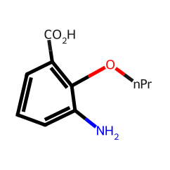 CCCOc1c(N)cccc1C(=O)O